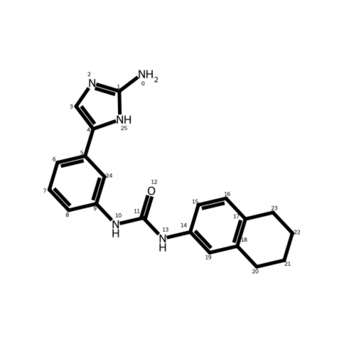 Nc1ncc(-c2cccc(NC(=O)Nc3ccc4c(c3)CCCC4)c2)[nH]1